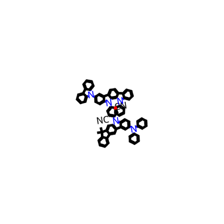 CC1(C)c2ccccc2-c2cc3c4cc(N(c5ccccc5)c5ccccc5)ccc4n(-c4cc(C#N)c(-n5c6ccc(-n7c8ccccc8c8ccccc87)cc6c6ccc7c8ccccc8n(-c8ccccc8)c7c65)cc4C#N)c3cc21